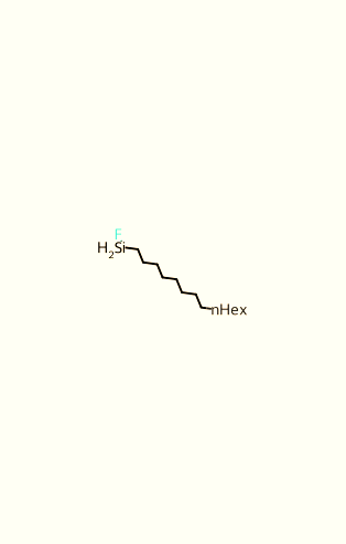 CCCCCCCCCCCCCC[SiH2]F